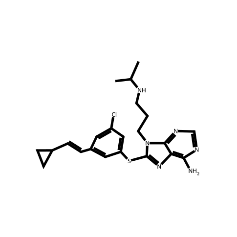 CC(C)NCCCn1c(Sc2cc(Cl)cc(C=CC3CC3)c2)nc2c(N)ncnc21